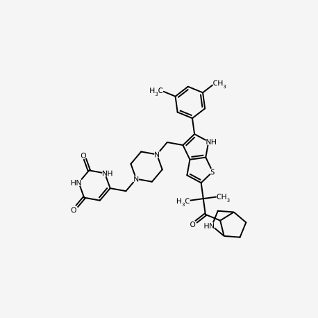 Cc1cc(C)cc(-c2[nH]c3sc(C(C)(C)C(=O)C4C5CCC4NC5)cc3c2CN2CCN(Cc3cc(=O)[nH]c(=O)[nH]3)CC2)c1